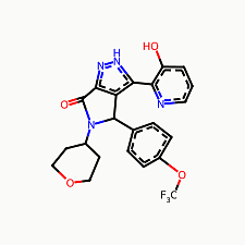 O=C1c2n[nH]c(-c3ncccc3O)c2C(c2ccc(OC(F)(F)F)cc2)N1C1CCOCC1